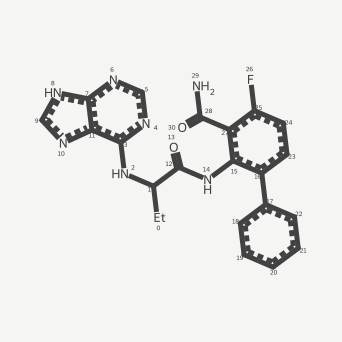 CCC(Nc1ncnc2[nH]cnc12)C(=O)Nc1c(-c2ccccc2)ccc(F)c1C(N)=O